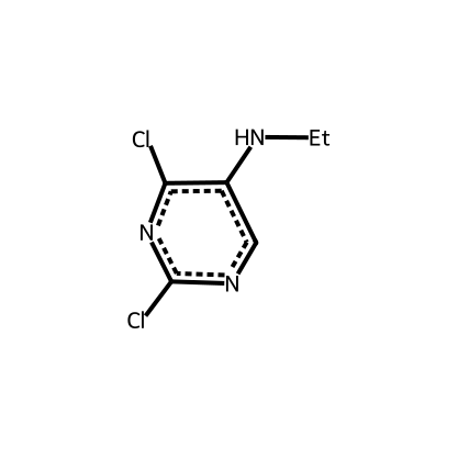 CCNc1cnc(Cl)nc1Cl